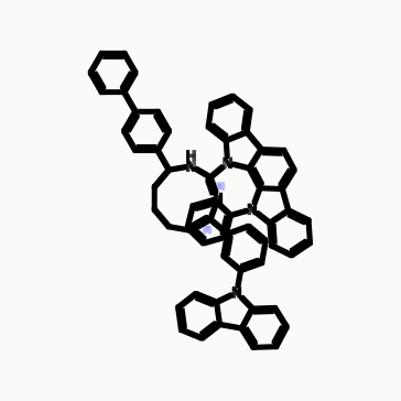 C1=C(c2cccc(-n3c4ccccc4c4ccccc43)c2)\N=C(\n2c3ccccc3c3ccc4c5ccccc5n(-c5ccccc5)c4c32)NC(c2ccc(-c3ccccc3)cc2)CCC/1